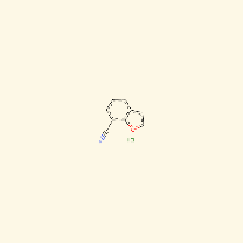 Cl.N#Cc1cccc2ccoc12